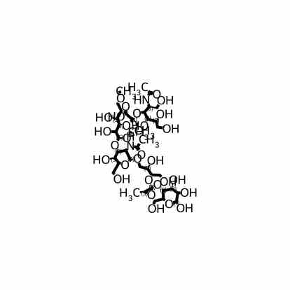 CC[C@](OC([C@H](CO)NC(C)=O)[C@H](O)[C@@H](O)CO)(O[C@H](C(O)[C@@H](OC)O[C@@H]1C(NC(C)=O)[C@H](OC[C@@H](O)C(CO)O[C@]2(O[C@H]3C(CO)O[C@@H](O)C(O)[C@H]3O)O[C@H]2C)OC(CO)[C@H]1O)[C@@H](O)CCOC)C(=O)O